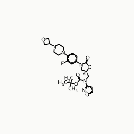 CC(C)(C)OC(=O)N(C[C@H]1CN(c2ccc(N3CCN(C4COC4)CC3)c(F)c2)C(=O)O1)c1ccon1